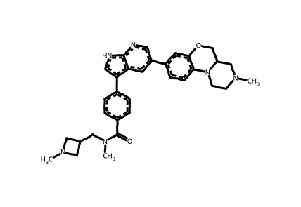 CN1CC(CN(C)C(=O)c2ccc(-c3c[nH]c4ncc(-c5ccc6c(c5)OCC5CN(C)CCN65)cc34)cc2)C1